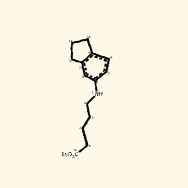 CCOC(=O)CCCCNc1ccc2c(c1)CCC2